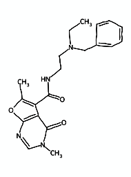 CCN(CCNC(=O)c1c(C)oc2ncn(C)c(=O)c12)Cc1ccccc1